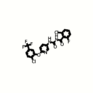 O=C(NC(=O)c1c(F)cccc1Cl)Nc1ccc(Oc2cc(C(F)(F)F)ccc2Cl)nc1